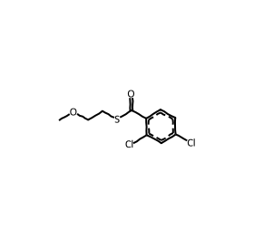 COCCSC(=O)c1ccc(Cl)cc1Cl